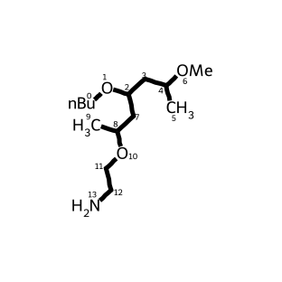 CCCCOC(CC(C)OC)CC(C)OCCN